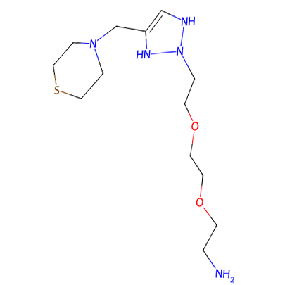 NCCOCCOCCN1NC=C(CN2CCSCC2)N1